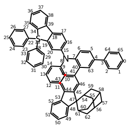 c1ccc(-c2ccc(N(c3ccccc3)c3ccc4c(c3)S(c3ccccc3)(c3ccccc3)c3ccccc3-4)c(-c3ccc4c(c3)C3(c5ccccc5-4)C4CC5CC(C4)CC3C5)c2)cc1